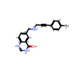 CC(=O)c1ccc(C#CCNCc2ccc3nc[nH]c(=O)c3c2)cc1